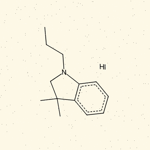 CCCN1CC(C)(C)c2ccccc21.I